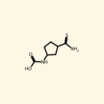 NC(=S)C1CCC(NC(=O)O)C1